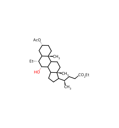 CCOC(=O)CC[C@@H](C)C1CCC2C3C(CC[C@@]21C)[C@@]1(C)CC[C@@H](OC(C)=O)CC1[C@@H](CC)[C@H]3O